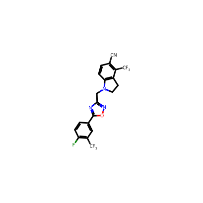 N#Cc1ccc2c(c1C(F)(F)F)CCN2Cc1noc(-c2ccc(F)c(C(F)(F)F)c2)n1